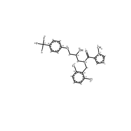 Cn1cncc1C(=O)N(Cc1c(Cl)cccc1Cl)CC(O)COc1ccc(C(F)(F)F)cc1